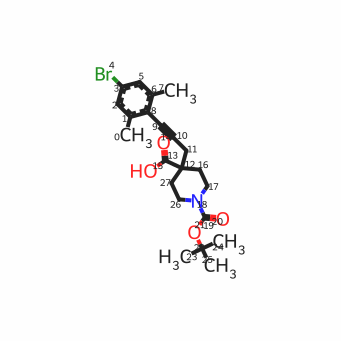 Cc1cc(Br)cc(C)c1C#CCC1(C(=O)O)CCN(C(=O)OC(C)(C)C)CC1